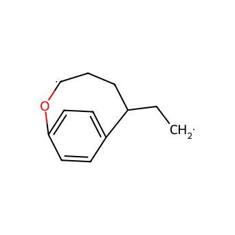 [CH2]CC1CC[CH]Oc2ccc1cc2